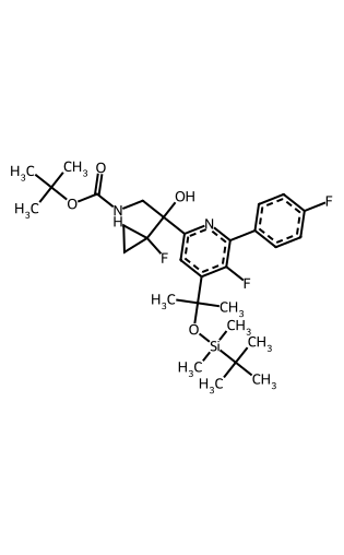 CC(C)(C)OC(=O)NCC(O)(c1cc(C(C)(C)O[Si](C)(C)C(C)(C)C)c(F)c(-c2ccc(F)cc2)n1)C1(F)CC1